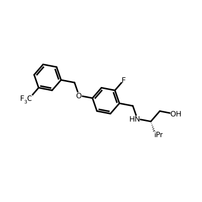 CC(C)[C@@H](CO)NCc1ccc(OCc2cccc(C(F)(F)F)c2)cc1F